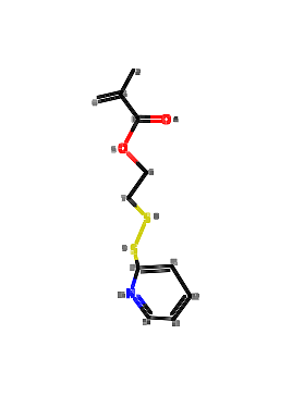 C=C(C)C(=O)OCCSSc1ccccn1